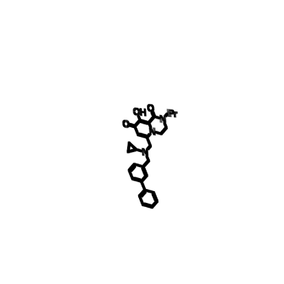 CC(C)N1CCn2c(CN(Cc3cccc(-c4ccccc4)c3)C3CC3)cc(=O)c(O)c2C1=O